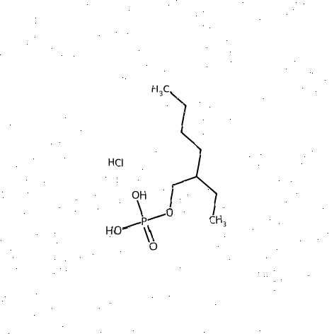 CCCCC(CC)COP(=O)(O)O.Cl